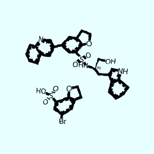 O=S(=O)(N[C@@H](CO)Cc1c[nH]c2ccccc12)c1cc(-c2cnc3ccccc3c2)cc2c1OCC2.O=S(=O)(O)c1cc(Br)cc2c1OCC2